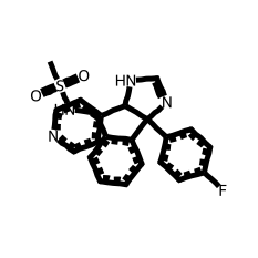 CS(=O)(=O)NCc1ccccc1C1(c2ccc(F)cc2)N=CNC1c1ccncc1